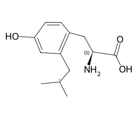 C[C](C)Cc1cc(O)ccc1C[C@H](N)C(=O)O